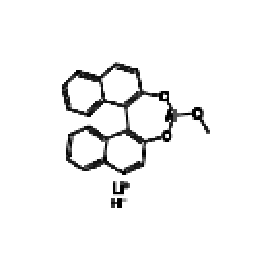 C[O][Al]1[O]c2ccc3ccccc3c2-c2c(ccc3ccccc23)[O]1.[H-].[Li+]